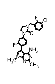 Cc1nc(N)c2c(-c3ccc(N4CCN(Cc5cccc(Cl)c5F)C4=O)cc3F)cn(C)c2n1